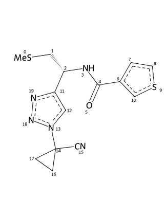 CSC[C@H](NC(=O)c1ccsc1)c1cn(C2(C#N)CC2)nn1